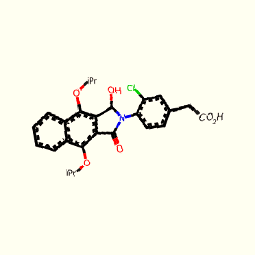 CC(C)Oc1c2c(c(OC(C)C)c3ccccc13)C(O)N(c1ccc(CC(=O)O)cc1Cl)C2=O